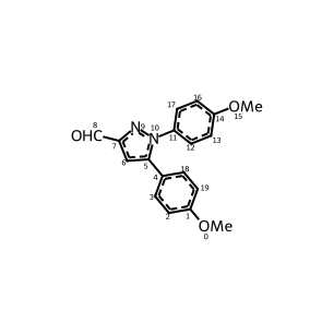 COc1ccc(-c2cc(C=O)nn2-c2ccc(OC)cc2)cc1